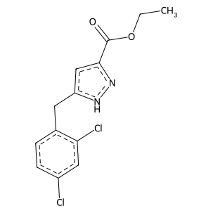 CCOC(=O)c1cc(Cc2ccc(Cl)cc2Cl)[nH]n1